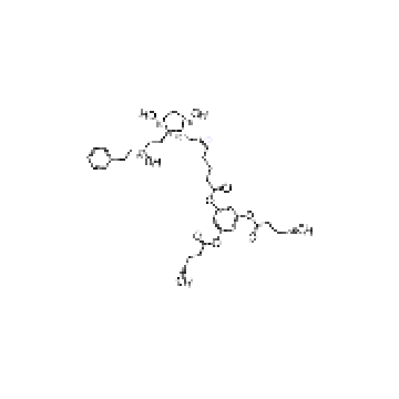 C#CCCC(=O)Oc1cc(OC(=O)CCC#C)cc(OC(=O)CCC/C=C\C[C@@H]2[C@@H](CC[C@@H](O)CCc3ccccc3)[C@H](O)C[C@@H]2O)c1